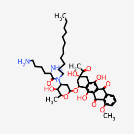 CCCCCCCCCCCCN(C(=O)[C@@H](N)CCCCN)C1CC(O[C@H]2C[C@](O)(C(C)=O)Cc3c(O)c4c(c(O)c32)C(=O)c2c(OC)cccc2C4=O)OC(C)C1O